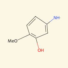 COc1ccc([NH])cc1O